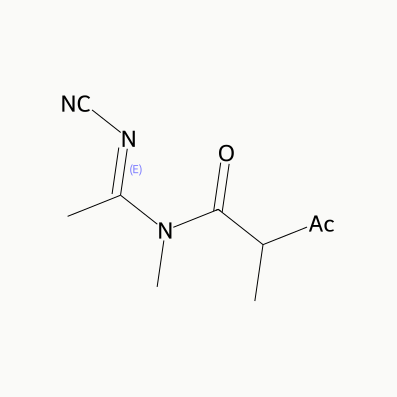 CC(=O)C(C)C(=O)N(C)/C(C)=N/C#N